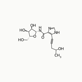 CC(O)CC#Cc1[nH]cnc1C(=O)N[C@@H]1O[C@H](CO)[C@@H](O)[C@H]1O